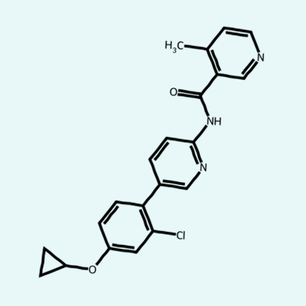 Cc1ccncc1C(=O)Nc1ccc(-c2ccc(OC3CC3)cc2Cl)cn1